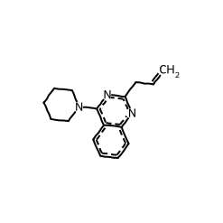 C=CCc1nc(N2CCCCC2)c2ccccc2n1